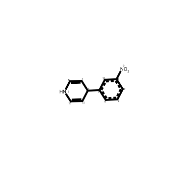 O=[N+]([O-])c1cccc(C2C=CNC=C2)c1